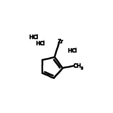 CC1=[C]([Zr])CC=C1.Cl.Cl.Cl